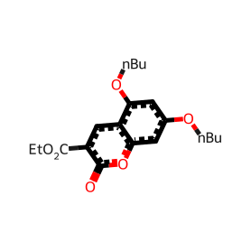 [CH2]COC(=O)c1cc2c(OCCCC)cc(OCCCC)cc2oc1=O